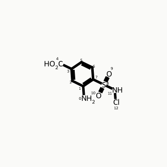 Nc1cc(C(=O)O)ccc1S(=O)(=O)NCl